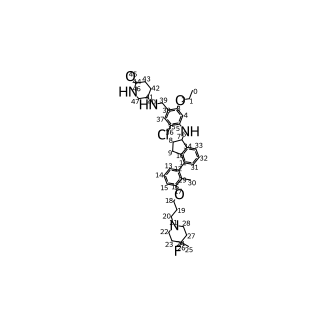 CCOc1cc(NC2CCc3c(-c4cccc(OCCCN5CCC(C)(F)CC5)c4C)cccc32)c(Cl)cc1CN[C@H]1CCC(=O)NC1